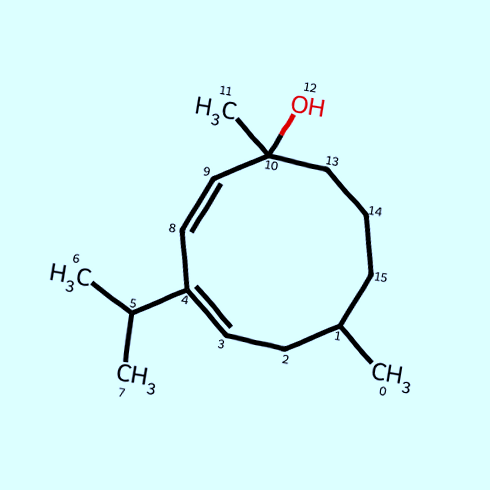 CC1CC=C(C(C)C)C=CC(C)(O)CCC1